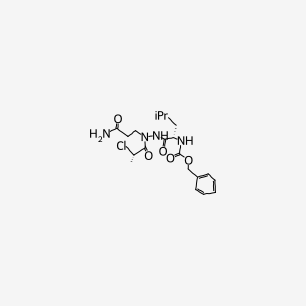 CC(C)C[C@H](NC(=O)OCc1ccccc1)C(=O)NN(CCC(N)=O)C(=O)[C@H](C)Cl